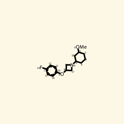 COC1CCCC(N2CC(Oc3ccc(F)cc3)C2)C1